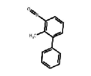 Cc1c(B=O)cccc1-c1ccccc1